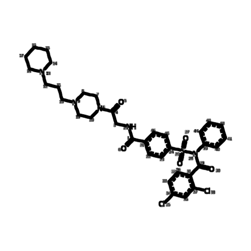 O=C(NCC(=O)N1CCN(CCCN2CCCCC2)CC1)c1ccc(S(=O)(=O)N(C(=O)c2ccc(Cl)cc2Cl)c2ccccc2)cc1